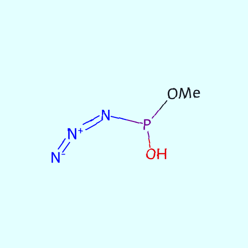 COP(O)N=[N+]=[N-]